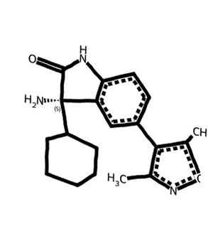 Cc1noc(C)c1-c1ccc2c(c1)[C@@](N)(C1CCCCC1)C(=O)N2